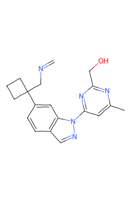 C=NCC1(c2ccc3cnn(-c4cc(C)nc(CO)n4)c3c2)CCC1